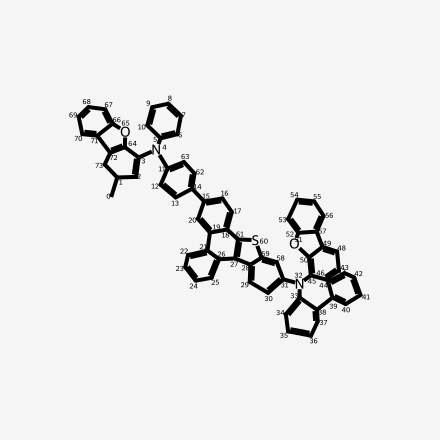 CC1C=C(N(c2ccccc2)c2ccc(-c3ccc4c(c3)c3ccccc3c3c5ccc(N(c6ccccc6-c6ccccc6)c6cccc7c6oc6ccccc67)cc5sc43)cc2)c2oc3ccccc3c2C1